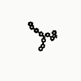 CC1(C)c2ccccc2-c2c(-c3cccc(N(c4ccc(-c5ccc(-c6ccc7ccccc7c6)cc5)cc4)c4ccc(-c5ccc6ccccc6c5)cc4)c3)cccc21